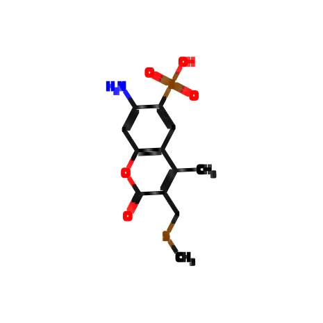 CSCc1c(C)c2cc(S(=O)(=O)O)c(N)cc2oc1=O